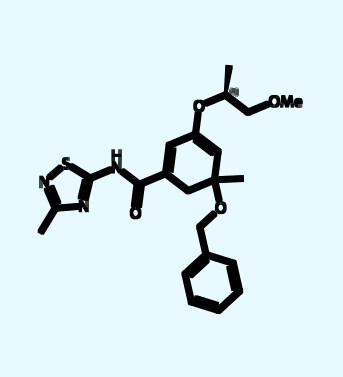 COC[C@H](C)OC1=CC(C)(OCc2ccccc2)CC(C(=O)Nc2nc(C)ns2)=C1